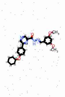 COc1cc(/C=N/NC(=O)c2cncc(-c3ccc(OC4CCCCC4)cc3)n2)cc(OC)c1